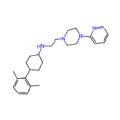 Cc1cccc(C)c1C1CCC(NCCN2CCN(c3ccccn3)CC2)CC1